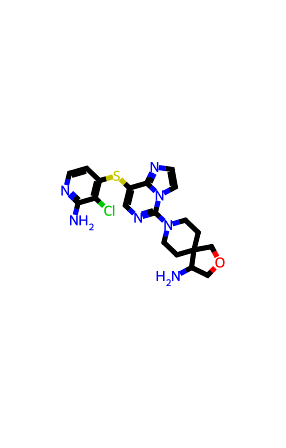 Nc1nccc(Sc2cnc(N3CCC4(CC3)COCC4N)n3ccnc23)c1Cl